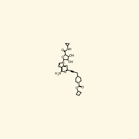 Nc1nc(C#CCC2CCN(C(=O)OC3CCC3)CC2)nc2c1ncn2C1OC(C(=O)NC2CC2)C(O)C1O